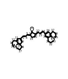 O=C1C(=CC=Cc2cc3c4c(c2)CCCN4CCC3)CCC1=CC=Cc1cc2c3c(c1)CCCN3CCC2